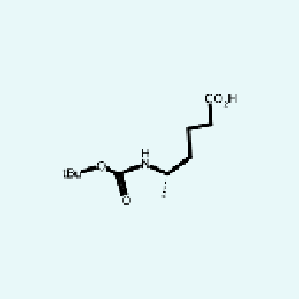 C[C@@H](CCCC(=O)O)NC(=O)OC(C)(C)C